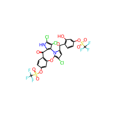 O=C1c2ccc(OS(=O)(=O)C(F)(F)F)cc2Oc2c(Cl)cc(C(=O)c3ccc(OS(=O)(=O)C(F)(F)F)cc3O)n2-c2c1[nH]c(Cl)c2Cl